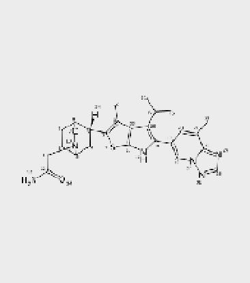 Cc1c([C@@H]2CC3CCC2CN3CC(N)=O)sc2[nH]c(-c3cc(C)c4ncnn4c3)c(C(C)C)c12